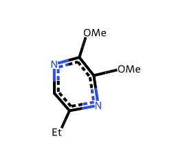 CCc1cnc(OC)c(OC)n1